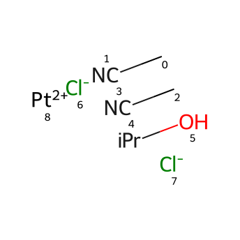 CC#N.CC#N.CC(C)O.[Cl-].[Cl-].[Pt+2]